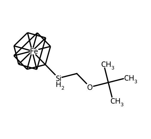 CC(C)(C)OC[SiH2][C]12[CH]3[CH]4[CH]5[CH]1[Fe]45321678[CH]2[CH]1[CH]6[CH]7[CH]28